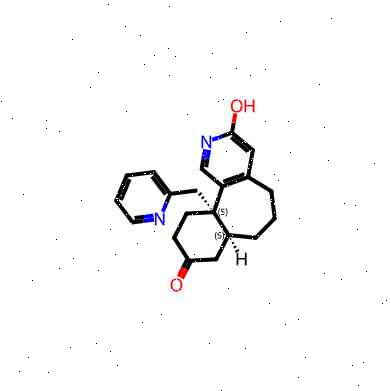 O=C1CC[C@@]2(Cc3ccccn3)c3cnc(O)cc3CCC[C@H]2C1